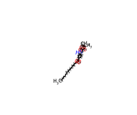 CCCCCCCCCCCCCCCCCCOC(=O)c1ccc(NC=C2C(=O)OC(CC)(CC)OC2=O)cc1